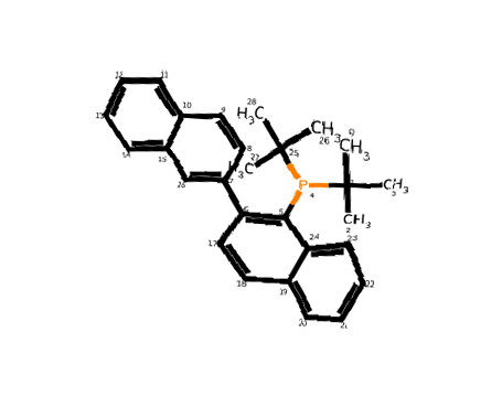 CC(C)(C)P(c1c(-c2ccc3ccccc3c2)ccc2ccccc12)C(C)(C)C